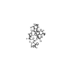 CNC(=O)[C@H]1CC[C@H]([C@H](C)N2CC(Cc3cn(-c4ccc(F)cc4C(=O)N(C)C(C)C)c4cncc(C)c34)C2)CC1